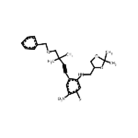 CC(C)(C#Cc1cc([N+](=O)[O-])c(F)cc1NCC1COC(C)(C)O1)COCc1ccccc1